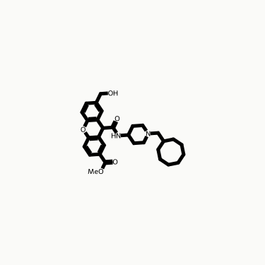 COC(=O)c1ccc2c(c1)C(C(=O)NC1CCN(CC3CCCCCCC3)CC1)c1cc(CO)ccc1O2